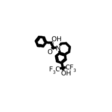 O=C([C@@H](O)c1ccccc1)N1CCCCc2cc(C(O)(C(F)(F)F)C(F)(F)F)ccc21